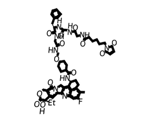 CC[C@@]1(O)C(=O)OCc2c1cc1n(c2=O)Cc2c-1nc1cc(F)c(C)c3c1c2[C@@H](NC(=O)C1CCC(OCNC(=O)CNC(=O)[C@H](Cc2ccccc2)NC(=O)CNC(=O)CNC(=O)CCCCCN2C(=O)C=CC2=O)CC1)CC3